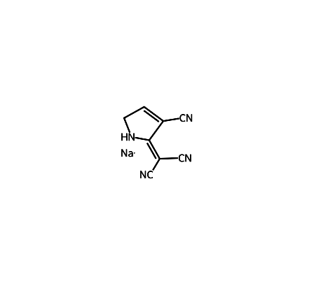 N#CC1=CCNC1=C(C#N)C#N.[Na]